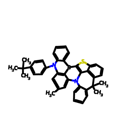 Cc1cc2c3c(c1)N1c4ccccc4C(C)(C)c4cccc5sc(c1c45)B3c1ccccc1N2c1ccc(C(C)(C)C)cc1